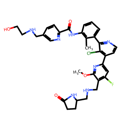 COc1nc(-c2ccnc(-c3cccc(NC(=O)c4ccc(CNCCO)cn4)c3C)c2Cl)cc(F)c1CNCC1CCC(=O)N1